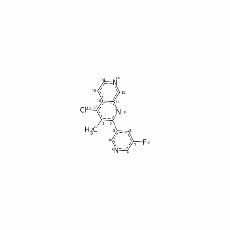 Cc1c(-c2cncc(F)c2)nc2cnccc2c1Cl